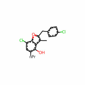 CCCc1cc(Cl)c2oc(Cc3ccc(Cl)cc3)c(C)c2c1O